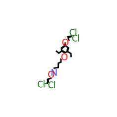 CCc1cc(OCC=C(Cl)Cl)cc(CC)c1OCCCC/C=N/OCC=C(Cl)Cl